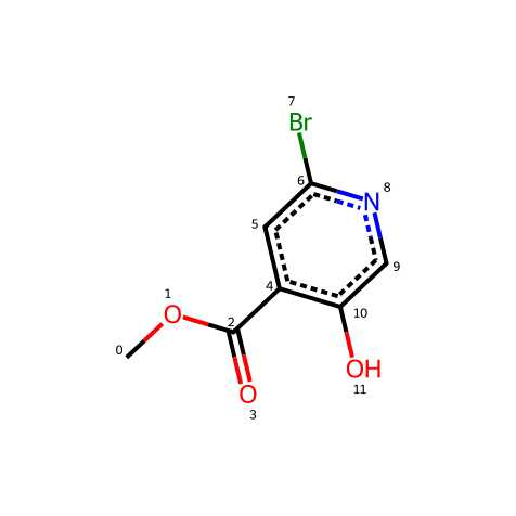 COC(=O)c1cc(Br)ncc1O